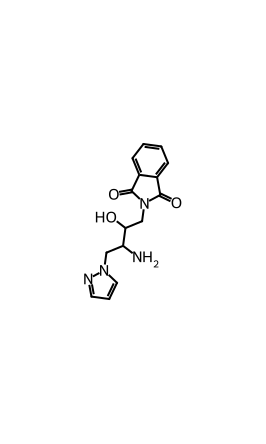 NC(Cn1cccn1)C(O)CN1C(=O)c2ccccc2C1=O